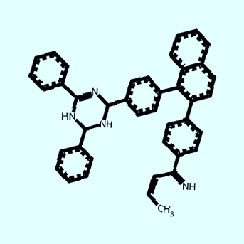 C/C=C\C(=N)c1ccc(-c2ccc3ccccc3c2-c2ccc(C3N=C(c4ccccc4)NC(c4ccccc4)N3)cc2)cc1